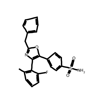 Cc1cccc(F)c1-c1nc(Cc2ccccc2)oc1-c1ccc(S(N)(=O)=O)cc1